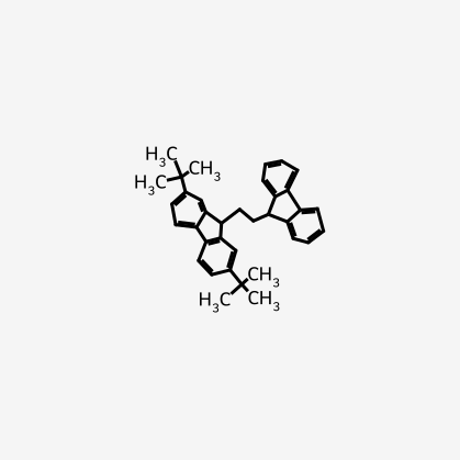 CC(C)(C)c1ccc2c(c1)C(CCC1c3ccccc3-c3ccccc31)c1cc(C(C)(C)C)ccc1-2